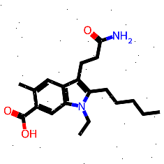 CCCCCc1c(CCC(N)=O)c2cc(C)c(C(=O)O)cc2n1CC